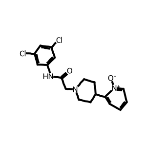 O=C(CN1CCC(c2cccc[n+]2[O-])CC1)Nc1cc(Cl)cc(Cl)c1